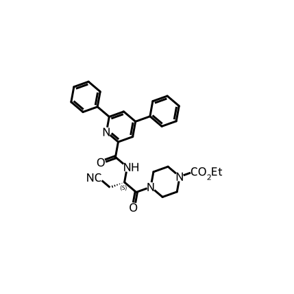 CCOC(=O)N1CCN(C(=O)[C@H](CC#N)NC(=O)c2cc(-c3ccccc3)cc(-c3ccccc3)n2)CC1